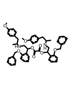 COc1ccc(CC(C)NCC(OC(=O)C(=O)OC(CNC(C)Cc2ccc(OC)cc2)c2ccccc2OCc2ccccc2)c2ccccc2OCc2ccccc2)cc1